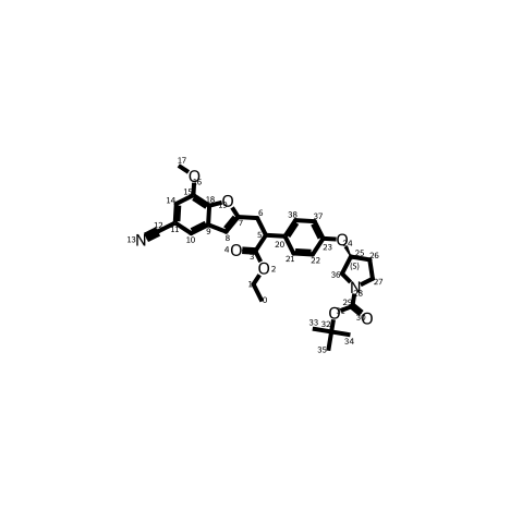 CCOC(=O)C(Cc1cc2cc(C#N)cc(OC)c2o1)c1ccc(O[C@H]2CCN(C(=O)OC(C)(C)C)C2)cc1